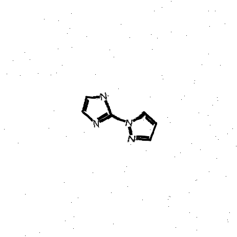 C1=CN=C(n2cccn2)[N]1